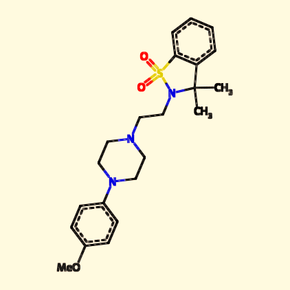 COc1ccc(N2CCN(CCN3C(C)(C)c4ccccc4S3(=O)=O)CC2)cc1